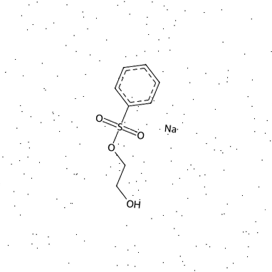 O=S(=O)(OCCO)c1ccccc1.[Na]